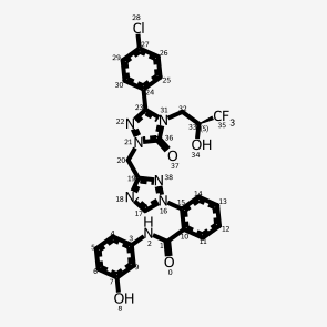 O=C(Nc1cccc(O)c1)c1ccccc1-n1cnc(Cn2nc(-c3ccc(Cl)cc3)n(C[C@H](O)C(F)(F)F)c2=O)n1